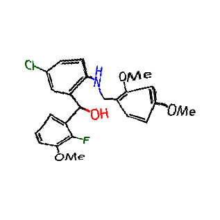 COc1ccc(CNc2ccc(Cl)cc2C(O)c2cccc(OC)c2F)c(OC)c1